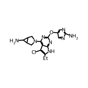 CCc1[nH]c2nc(Oc3cnc(N)nc3)nc(N3CC4C(N)C4C3)c2c1Cl